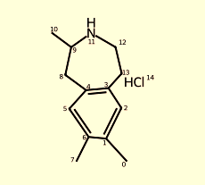 Cc1cc2c(cc1C)CC(C)NCC2.Cl